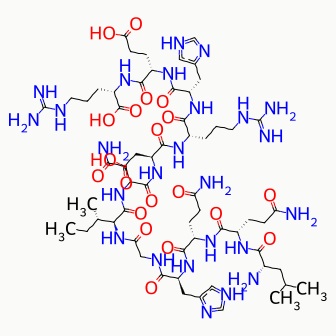 CC[C@H](C)[C@H](NC(=O)CNC(=O)[C@H](Cc1c[nH]cn1)NC(=O)[C@H](CCC(N)=O)NC(=O)[C@H](CCC(N)=O)NC(=O)[C@@H](N)CC(C)C)C(=O)N[C@@H](CC(N)=O)C(=O)N[C@@H](CC(=O)O)C(=O)N[C@@H](CCCNC(=N)N)C(=O)N[C@@H](Cc1c[nH]cn1)C(=O)N[C@@H](CCC(=O)O)C(=O)N[C@@H](CCCNC(=N)N)C(=O)O